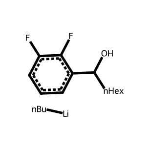 CCCCCCC(O)c1cccc(F)c1F.[Li][CH2]CCC